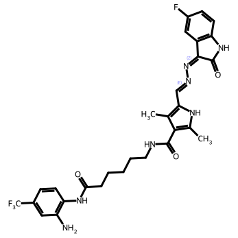 Cc1[nH]c(/C=N/N=C2\C(=O)Nc3ccc(F)cc32)c(C)c1C(=O)NCCCCCC(=O)Nc1ccc(C(F)(F)F)cc1N